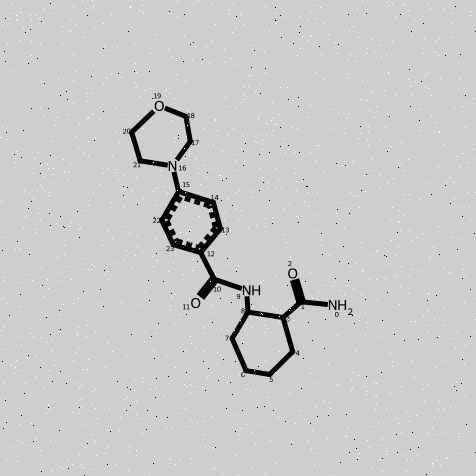 NC(=O)C1CCCCC1NC(=O)c1ccc(N2CCOCC2)cc1